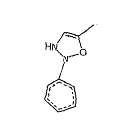 [CH2]C1=CNN(c2ccccc2)O1